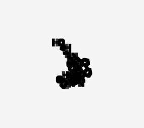 COc1nc(-c2cccc(-c3cccc(-c4cnc(CNC[C@H]5C[C@@H](O)C5)c(OC)n4)c3Cl)c2Cl)cnc1CNC[C@@H]1CCC(=O)N1